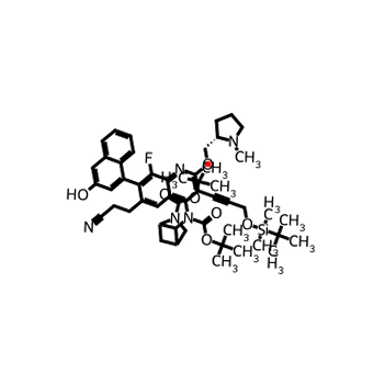 CN1CCC[C@H]1COc1nc2c(F)c(-c3cc(O)cc4ccccc34)c(CCC#N)cc2c(N(C(=O)OC(C)(C)C)C2C3CC2N(C(=O)OC(C)(C)C)C3)c1C#CCO[Si](C)(C)C(C)(C)C